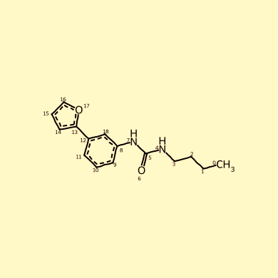 CCCCNC(=O)Nc1cccc(-c2ccco2)c1